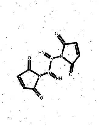 N=S(N1C(=O)C=CC1=O)S(=N)N1C(=O)C=CC1=O